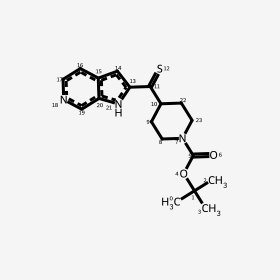 CC(C)(C)OC(=O)N1CCC(C(=S)c2cc3ccncc3[nH]2)CC1